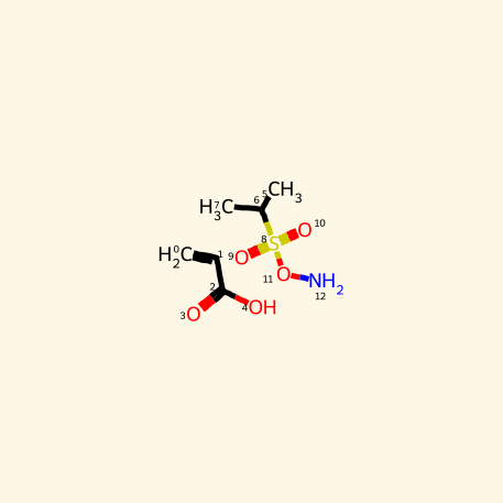 C=CC(=O)O.CC(C)S(=O)(=O)ON